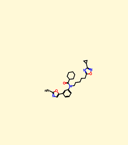 CCCc1ncc(-c2cccc(N(CCCCCc3nc(C4CC4)no3)C(=O)C3CCCCC3)c2)o1